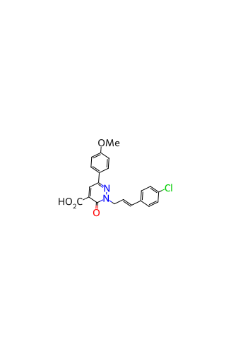 COc1ccc(-c2cc(C(=O)O)c(=O)n(C/C=C/c3ccc(Cl)cc3)n2)cc1